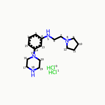 Cl.Cl.c1cc(NCCN2CCCC2)cc(N2CCNCC2)c1